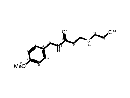 COc1ccc(CNC(=O)CCOCCCl)cc1